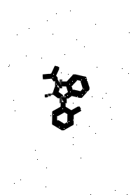 Cc1ccccc1N1c2ccccc2N(C(C)C)[C@H]1C